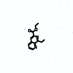 CCOC(=O)c1cc2cccnc2c(CC)n1